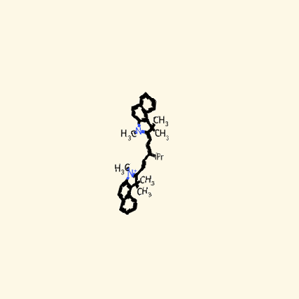 CC(C)C(/C=C/C1=[N+](C)c2ccc3ccccc3c2C1(C)C)=C\C=C1/N(C)c2ccc3ccccc3c2C1(C)C